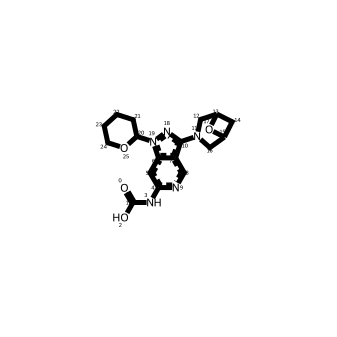 O=C(O)Nc1cc2c(cn1)c(N1CC3CC(C1)O3)nn2C1CCCCO1